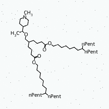 CCCCCC(CCCCC)CCCCCCCOC(=O)CCCC(CCCC(=O)OCCCCCCCC(CCCCC)CCCCC)CO[C@@H](C)C1CCN(C)CC1